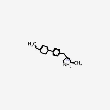 C=C/C=C(\CN)Cc1ccc(C2=CC=C(C=C)CC2)cc1